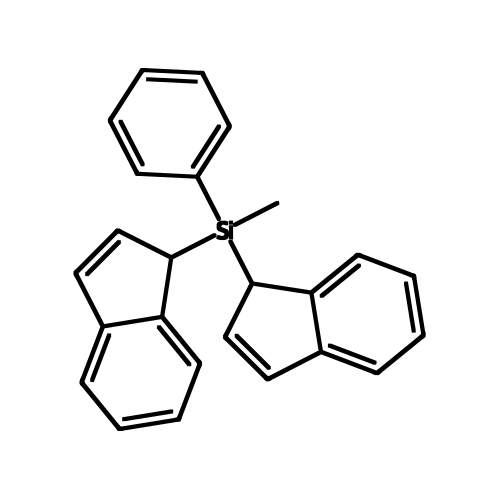 C[Si](c1ccccc1)(C1C=Cc2ccccc21)C1C=Cc2ccccc21